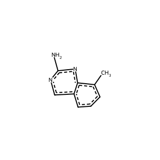 Cc1cccc2cnc(N)nc12